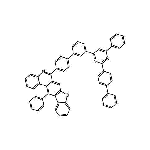 c1ccc(-c2ccc(-c3nc(-c4ccccc4)cc(-c4cccc(-c5ccc(-c6nc7ccccc7c7c(-c8ccccc8)c8c(cc67)oc6ccccc68)cc5)c4)n3)cc2)cc1